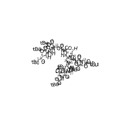 CC(C)(C)CC(=O)CC[C@H](NC(=O)N[C@@H](COC(=O)N[C@@H](CCCCN(Cc1nccn1CC(=O)N(CC(=O)OC(C)(C)C)CC(=O)OC(C)(C)C)Cc1nccn1CC(=O)N(CC(=O)OC(C)(C)C)CC(=O)OC(C)(C)C)C(=O)O)C(=O)OC(C)(C)C)C(=O)OC(C)(C)C